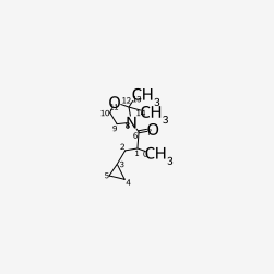 CC(CC1CC1)C(=O)N1CCOC1(C)C